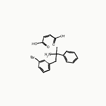 CC(N)(Cc1cccc(Br)c1)c1ccccc1.O=C(O)/C=C\C(=O)O